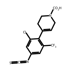 O=C(O)N1CC=C(c2c(Cl)cc(N=C=S)cc2C(F)(F)F)CC1